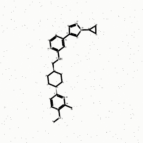 COc1ccc([C@H]2CC[C@H](CNc3cc(-c4cnn(C5CC5)c4)ccn3)CC2)nc1C